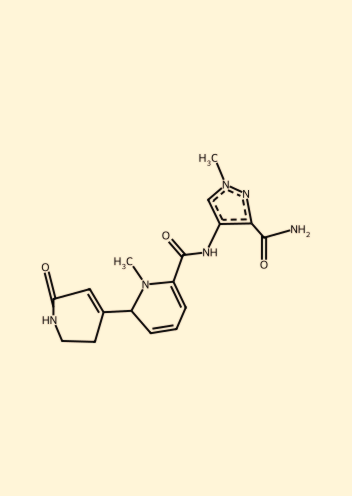 CN1C(C(=O)Nc2cn(C)nc2C(N)=O)=CC=CC1C1=CC(=O)NCC1